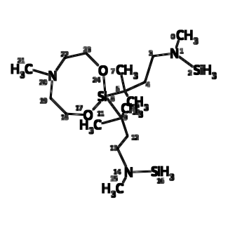 CN([SiH3])CCC(C)(C)[Si]1(C(C)(C)CCN(C)[SiH3])OCCN(C)CCO1